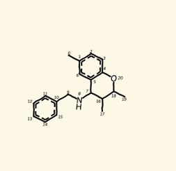 Cc1ccc2c(c1)C(NCc1ccccc1)C(C)C(C)O2